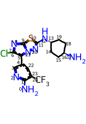 Nc1ncc(-c2c(Cl)nc3sc(N[C@H]4CC[C@H](N)CC4)nn23)cc1C(F)(F)F